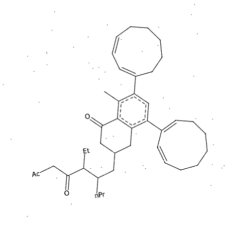 CCCC(CC1CC(=O)c2c(C)c(/C3=C/C=C\CCCCC3)cc(C3=C/CCCCC/C=C\3)c2C1)C(CC)C(=O)CC(C)=O